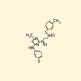 CCN(CCN(CC)c1nc(C)cc(NC2=CCC=C(F)C=C2)n1)SC1=CCC=C(C)C=C1